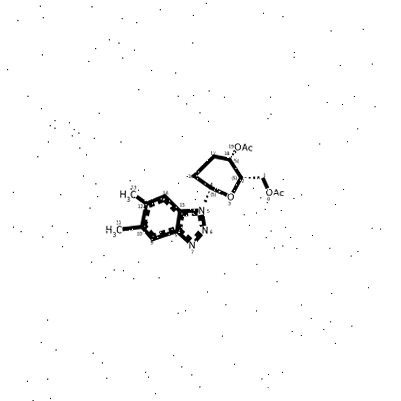 CC(=O)OC[C@@H]1O[C@H](n2nnc3cc(C)c(C)cc32)CC[C@@H]1OC(C)=O